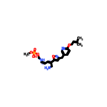 COP(=O)(O)OCN/C=C\C=C(/CN)c1cc(Cc2ccc(OCC=C(C)C)nc2)no1